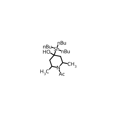 CCC[CH2][Sn]([CH2]CCC)([CH2]CCC)[C]1(O)CC(C)N(C(C)=O)C(C)C1